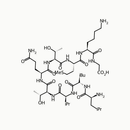 CC[C@H](C)[C@H](NC(=O)[C@@H](N)CC(C)C)C(=O)N[C@H](C(=O)N[C@H](C(=O)N[C@@H](CCC(N)=O)C(=O)N[C@H](C(=O)N[C@@H](CCSC)C(=O)N[C@@H](CCCCN)C(=O)NCC(=O)O)[C@@H](C)O)[C@@H](C)O)C(C)C